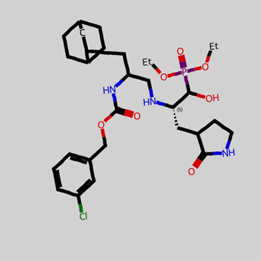 CCOP(=O)(OCC)C(O)[C@H](CC1CCNC1=O)NCC(CC1CC2CCC1CC2)NC(=O)OCc1cccc(Cl)c1